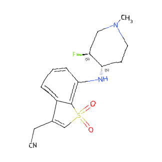 CN1CC[C@H](Nc2cccc3c2S(=O)(=O)C=C3CC#N)[C@@H](F)C1